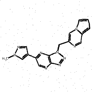 Cn1cc(-c2cnc3nnn(Cc4cn5cccc5cn4)c3n2)cn1